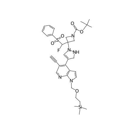 C#Cc1cnc2c(ccn2COCC[Si](C)(C)C)c1C1=CN(C2(C(F)S(=O)(=O)c3ccccc3)CN(C(=O)OC(C)(C)C)C2)NC1